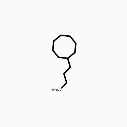 CCCCCCCCC[CH]C1CCCCCCC1